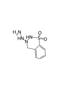 NNN1Cc2ccccc2S(=O)(=O)N1